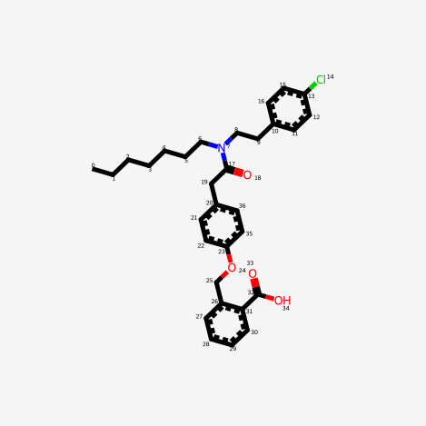 CCCCCCCN(CCc1ccc(Cl)cc1)C(=O)Cc1ccc(OCc2ccccc2C(=O)O)cc1